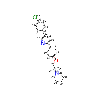 CC(C)(COC1=CCC(c2ccc(-c3ccc(Cl)cc3)cn2)C=C1)N1CCCCC1